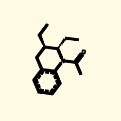 CC[C@@H]1Cc2ccccc2N(C(C)=O)[C@H]1CC